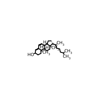 CC(C)CCC[C@@H](C)[C@H]1CC[C@H]2[C@@H]3C=CC4=CC(O)CC[C@]4(C)[C@H]3CC[C@]12C